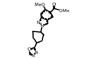 COC(=O)c1cc2cn(C3CCC(c4nnco4)CC3)nc2cc1OC